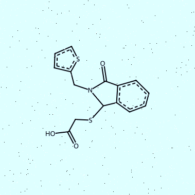 O=C(O)CSC1c2ccccc2C(=O)N1Cc1cccs1